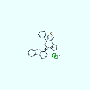 C1=CC(c2ccsc2)=[C]([Zr+2](=[CH]Cc2ccccc2)[c]2cccc3c2Cc2ccccc2-3)C1.[Cl-].[Cl-]